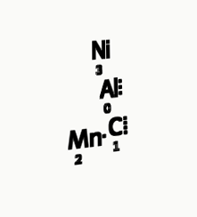 [Al].[C].[Mn].[Ni]